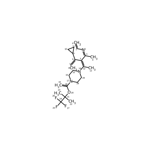 C=C\N=C(C)/C(C(=C\C)/C1CC1)=C(\C)N1CCN(C(=C)OC(C)(C)C(F)(F)F)CC1